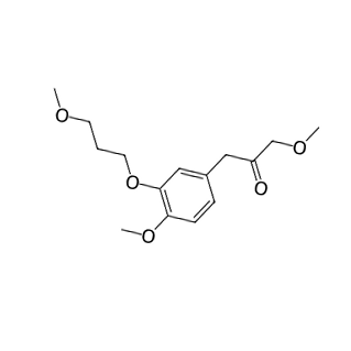 COCCCOc1cc(CC(=O)COC)ccc1OC